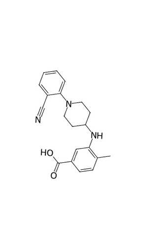 Cc1ccc(C(=O)O)cc1NC1CCN(c2ccccc2C#N)CC1